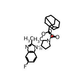 COC(=O)C12CC3CC(C1)C(OC(=O)N1CC[C@H](n4c(C)nc5cc(F)ccc54)C1)C(C3)C2